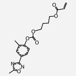 C=CC(=O)OCCCCOC(=O)Oc1ccc(-c2noc(C)n2)cc1C